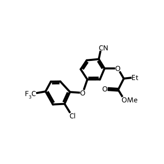 CCC(Oc1cc(Oc2ccc(C(F)(F)F)cc2Cl)ccc1C#N)C(=O)OC